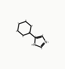 C1=NC=C(C2CCCCC2)[N]1